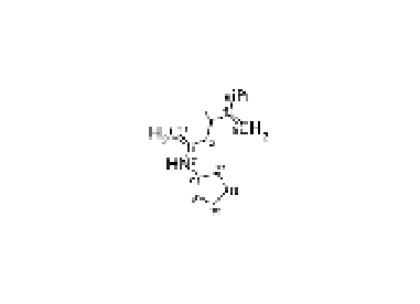 C=C(CCC(=C)C(C)C)NC1CCCC1